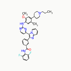 CCCN1CCC(c2cc(OC)c(Nc3nccc(-c4c(-c5cccc(C(=O)Nc6c(F)cccc6F)c5)nc5ccccn45)n3)cc2C)CC1